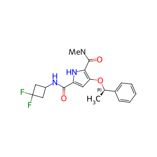 CNC(=O)c1[nH]c(C(=O)NC2CC(F)(F)C2)cc1O[C@H](C)c1ccccc1